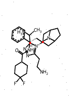 CC(C)C1N=NC(CCN)=[N+]1C1CC2CCC(C1)N2CC[C@H](NC(=O)C1CCC(F)(F)CC1)c1ccccc1